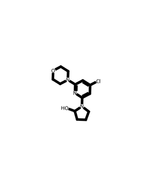 OC1CCCN1c1cc(Cl)cc(N2CCOCC2)n1